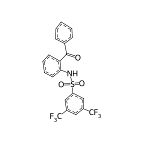 O=C(c1ccccc1)c1ccccc1NS(=O)(=O)c1cc(C(F)(F)F)cc(C(F)(F)F)c1